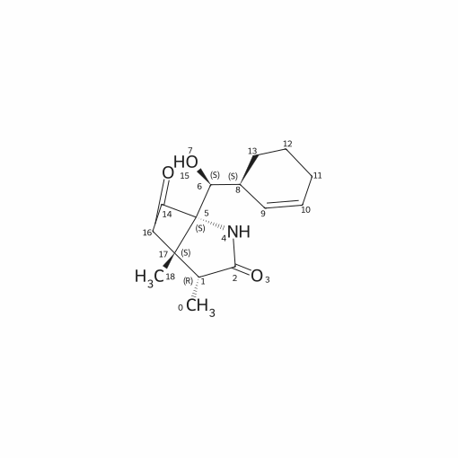 C[C@H]1C(=O)N[C@@]2([C@@H](O)[C@@H]3C=CCCC3)C(=O)C[C@@]12C